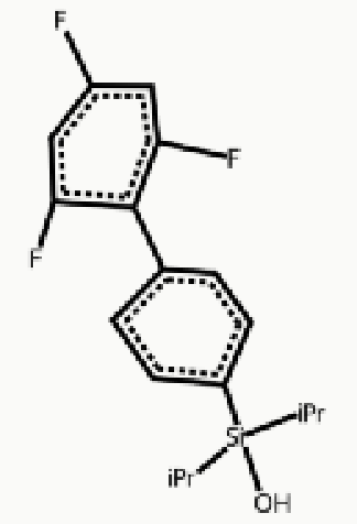 CC(C)[Si](O)(c1ccc(-c2c(F)cc(F)cc2F)cc1)C(C)C